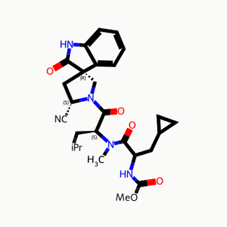 COC(=O)NC(CC1CC1)C(=O)N(C)[C@@H](CC(C)C)C(=O)N1C[C@]2(C[C@H]1C#N)C(=O)Nc1ccccc12